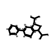 CC(C)C1CN(C(C)C)c2nc(-c3ccccn3)ccc21